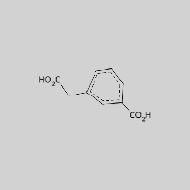 O=C(O)Cc1cccc(C(=O)O)c1